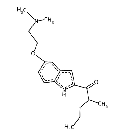 CCCC(C)C(=O)c1cc2cc(OCCN(C)C)ccc2[nH]1